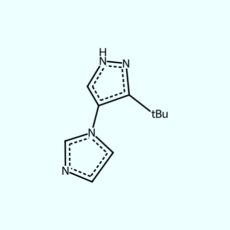 CC(C)(C)c1n[nH]cc1-n1ccnc1